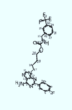 Nc1nc(-c2ccc(F)cc2)nc2c1ncn2CCCCOC(=O)NCc1cccc(C(F)(F)F)c1